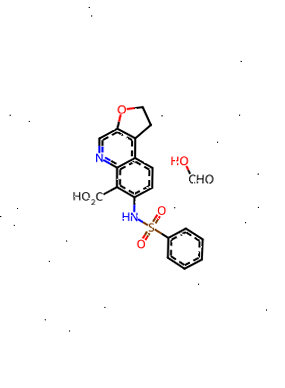 O=C(O)c1c(NS(=O)(=O)c2ccccc2)ccc2c3c(cnc12)OCC3.O=CO